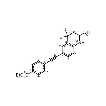 CCOC(=O)c1ccc(C#Cc2ccc3c(c2)C(C)(C)CC(S)N3)cc1